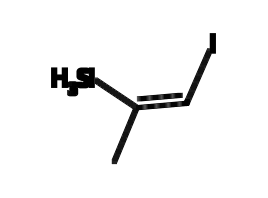 CC([SiH3])=CI